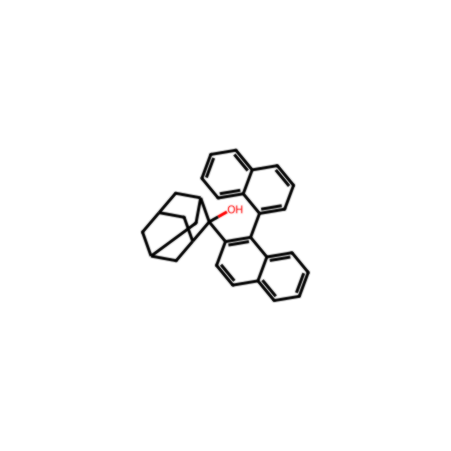 OC1(c2ccc3ccccc3c2-c2cccc3ccccc23)C2CC3CC(C2)CC1C3